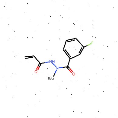 C=CC(=O)NN(C(=O)c1cccc(F)c1)C(C)(C)C